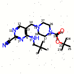 CC(C)(C)CNc1nc(C#N)ncc1CN1CCN(C(=O)OC(C)(C)C)CC1